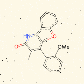 COc1ccccc1-c1c(C)c(=O)[nH]c2c1oc1ccccc12